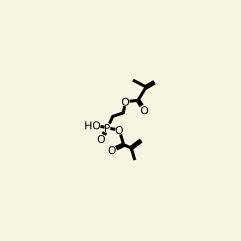 C=C(C)C(=O)OCCP(=O)(O)OC(=O)C(=C)C